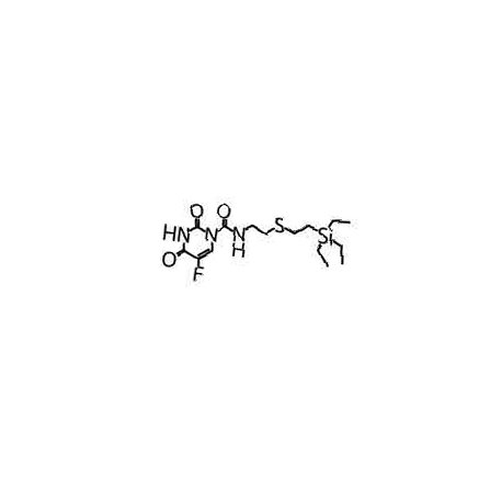 CC[Si](CC)(CC)CCSCCNC(=O)n1cc(F)c(=O)[nH]c1=O